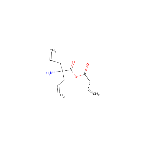 C=CCC(=O)OC(=O)C(N)(CC=C)CC=C